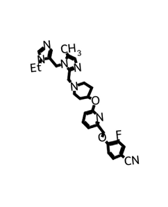 CCn1cncc1Cn1c(C)cnc1CN1CCC(Oc2cccc(COc3ccc(C#N)cc3F)n2)CC1